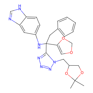 CC1(C)OCC(Cn2nnnc2C(Cc2ccccc2)(Nc2ccc3[nH]cnc3c2)C2=COCO2)O1